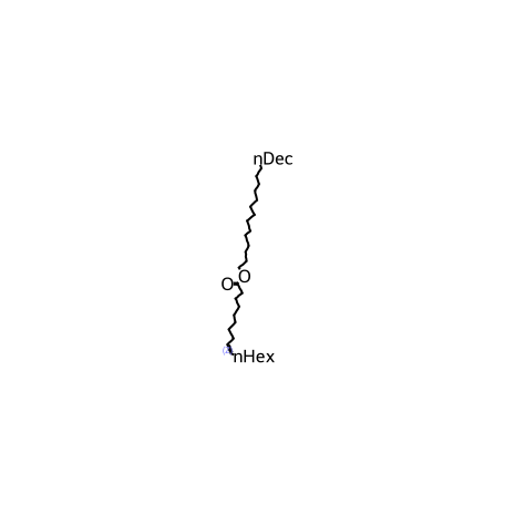 CCCCCC/C=C\CCCCCCCC(=O)OCCCCCCCCCCCCCCCCCCCCCCCC